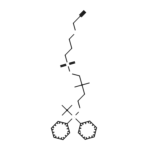 C#CCOCCCS(=O)(=O)OCC(C)(C)CCO[Si](c1ccccc1)(c1ccccc1)C(C)(C)C